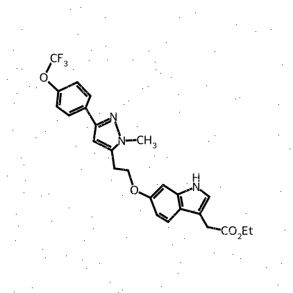 CCOC(=O)Cc1c[nH]c2cc(OCCc3cc(-c4ccc(OC(F)(F)F)cc4)nn3C)ccc12